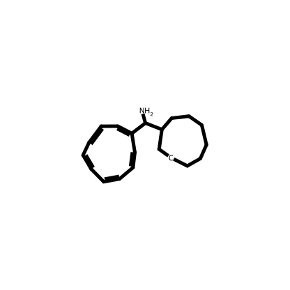 NC(c1ccccccccc1)C1CCCCCCCC1